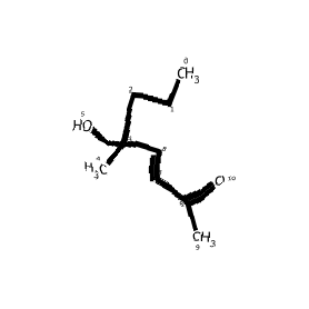 CCCC(C)(O)C=CC(C)=O